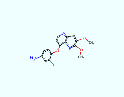 COc1cc2nccc(Oc3ccc(N)cc3F)c2nc1OC